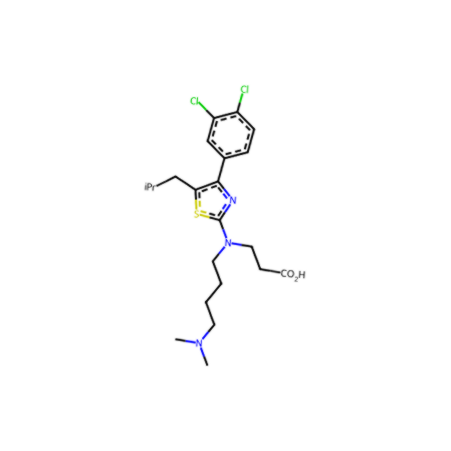 CC(C)Cc1sc(N(CCCCN(C)C)CCC(=O)O)nc1-c1ccc(Cl)c(Cl)c1